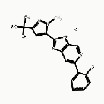 Cl.Cn1nc(C(C)(C)C)cc1-c1nc2cc(-c3ccccc3Cl)ncc2[nH]1